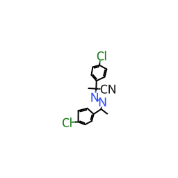 CC(/N=N/C(C)(C#N)c1ccc(Cl)cc1)c1ccc(Cl)cc1